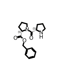 O=C(OCc1ccccc1)[C@@H]1CCCN1C(=O)[C@@H]1CCCN1